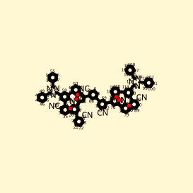 N#Cc1cc(-c2ccc(C#N)c(-c3ccc4c(c3)c3cc(-c5ccccc5C#N)ccc3n4-c3c(-c4ccccc4C#N)cc(-c4nc(-c5ccccc5)nc(-c5ccccc5)n4)cc3-c3ccccc3C#N)c2)cc(-c2ccc3c(c2)c2ccccc2n3-c2c(-c3ccccc3C#N)cc(-c3nc(-c4ccccc4)nc(-c4ccccc4)n3)cc2-c2ccccc2C#N)c1